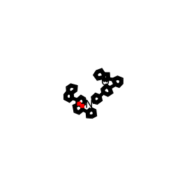 c1ccc(-c2ccccc2N(c2ccc(-c3ccc(-c4ccccc4-c4cc5ccccc5o4)cc3)cc2)c2ccc(-c3cccc4ccccc34)cc2)cc1